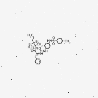 C=CCC(CC)(CC)C(C)(C)NC(=O)[C@@H](Cc1ccccc1)NC(=O)Nc1ccc(NS(=O)(=O)c2ccc(C)cc2)cc1